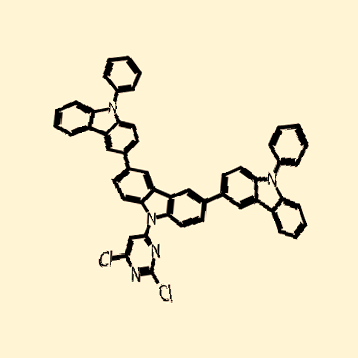 Clc1cc(-n2c3ccc(-c4ccc5c(c4)c4ccccc4n5-c4ccccc4)cc3c3cc(-c4ccc5c(c4)c4ccccc4n5-c4ccccc4)ccc32)nc(Cl)n1